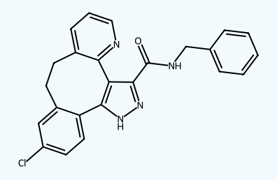 O=C(NCc1ccccc1)c1n[nH]c2c1-c1ncccc1CCc1cc(Cl)ccc1-2